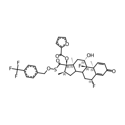 C[C@@H]1CC2C3C[C@H](F)C4=CC(=O)C=C[C@]4(C)[C@@]3(F)[C@@H](O)C[C@]2(C)[C@@]1(OC(=O)c1ccco1)C(=O)SOCc1ccc(C(F)(F)F)cc1